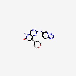 Cn1c(=O)cc(C2CCOCC2)c2nc(Nc3ccc4ncnn4c3)ncc21